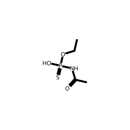 CCOP(O)(=S)NC(C)=O